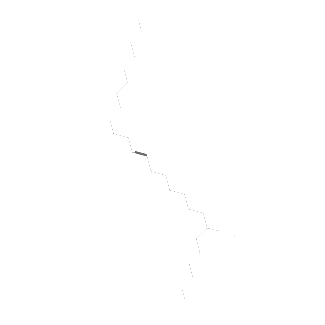 [CH2]CCCCCCCCC(C)CC=CCCCCCCC(C)CCCCC[CH2]